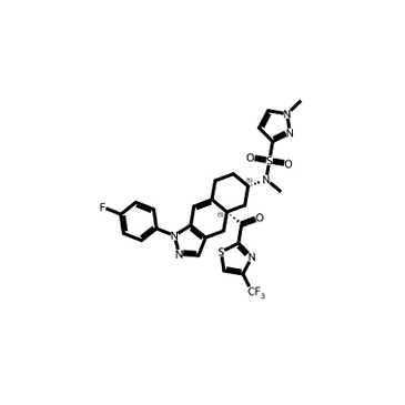 CN([C@H]1CCC2=Cc3c(cnn3-c3ccc(F)cc3)C[C@]2(C(=O)c2nc(C(F)(F)F)cs2)C1)S(=O)(=O)c1ccn(C)n1